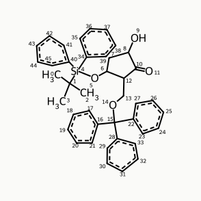 CC(C)(C)[Si](OC1CC(O)C(=O)C1COC(c1ccccc1)(c1ccccc1)c1ccccc1)(c1ccccc1)c1ccccc1